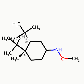 CONC1CC[C@](C)(C(C)(C)C)[C@H](C(C)(C)C)C1